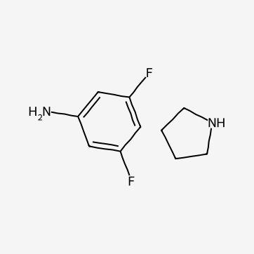 C1CCNC1.Nc1cc(F)cc(F)c1